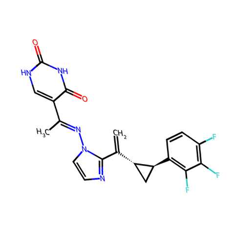 C=C(c1nccn1/N=C(\C)c1c[nH]c(=O)[nH]c1=O)[C@H]1C[C@@H]1c1ccc(F)c(F)c1F